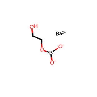 [Ba+2].[O-]B([O-])OCCO